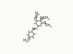 COc1cc(C=Nc2ccc(C)cc2)cc(OC)c1OC